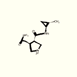 C[C@H]1C[C@@H]1NC(=O)[C@@H]1CNC[C@H]1C(N)=O